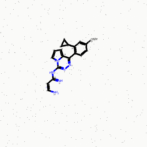 COc1ccc(-c2nnc(NC(=N)/C=C\N)n3cccc23)c(C2CC2)c1